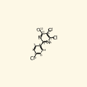 Clc1ccc(-c2nc(Cl)c(Cl)c(Cl)n2)cc1